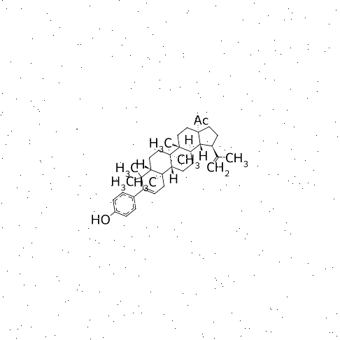 C=C(C)[C@@H]1CC[C@]2(C(C)=O)CC[C@]3(C)[C@H](CC[C@@H]4[C@@]5(C)CC=C(c6ccc(O)cc6)C(C)(C)[C@@H]5CC[C@]43C)[C@@H]12